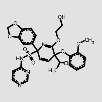 COc1ccccc1OC1(C(C)C)C=CC(c2ccc3c(c2)OCO3)(S(=O)(=O)Nc2ccncn2)N=C1OCCO